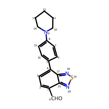 O=Cc1ccc(-c2ccc(N3CCCCC3)cc2)c2nsnc12